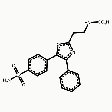 NS(=O)(=O)c1ccc(-c2oc(CCNC(=O)O)nc2-c2ccccc2)cc1